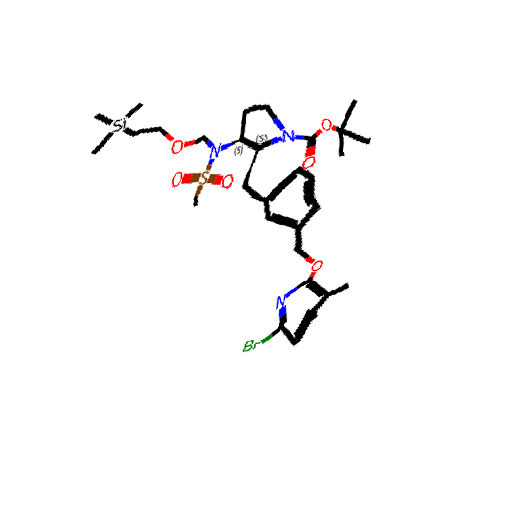 Cc1ccc(Br)nc1OCc1cccc(C[C@H]2[C@@H](N(COCC[Si](C)(C)C)S(C)(=O)=O)CCN2C(=O)OC(C)(C)C)c1